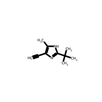 C#Cc1nc(C(C)(C)C)[nH]c1C